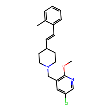 COc1ncc(Cl)cc1CN1CCC(C=Cc2ccccc2C)CC1